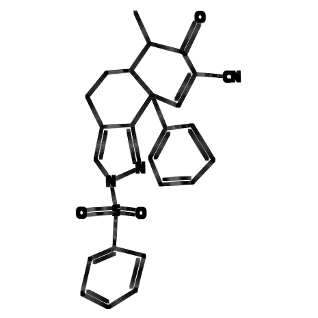 CC1C(=O)C(C#N)=CC2(c3ccccc3)c3nn(S(=O)(=O)c4ccccc4)cc3CCC12